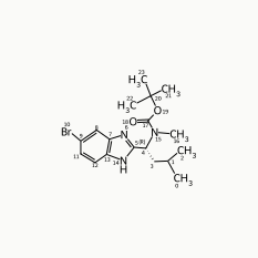 CC(C)C[C@H](c1nc2cc(Br)ccc2[nH]1)N(C)C(=O)OC(C)(C)C